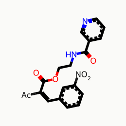 CC(=O)C(=Cc1cccc([N+](=O)[O-])c1)C(=O)OCCNC(=O)c1cccnc1